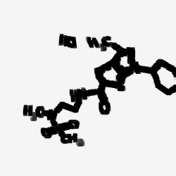 Cc1nn(C2CCCCC2)c2sc(C(=O)NCCN(C)S(C)(=O)=O)cc12.Cl